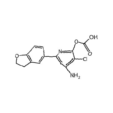 Nc1cc(-c2ccc3c(c2)CCO3)nc(OC(=O)O)c1Cl